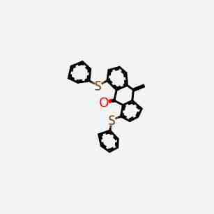 C=C1c2cccc(Sc3ccccc3)c2C(=O)c2c(Sc3ccccc3)cccc21